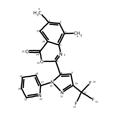 Cc1cc(C)c2nc(-c3cc(C(F)(F)F)nn3-c3ccccn3)oc(=O)c2c1